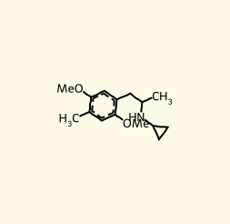 COc1cc(CC(C)NC2CC2)c(OC)cc1C